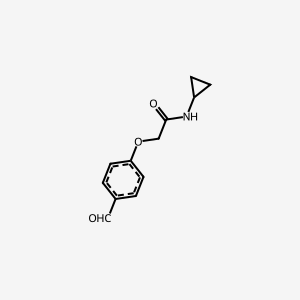 O=Cc1ccc(OCC(=O)NC2CC2)cc1